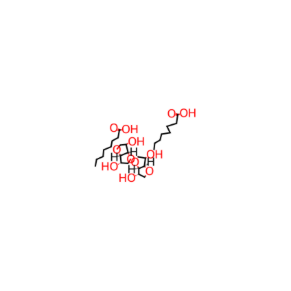 CCCCCCCC(=O)O.CCCCCCCC(=O)O.O[C@@H]1CO[C@H]2[C@@H]1OC[C@@H]2O.O[C@@H]1CO[C@H]2[C@@H]1OC[C@@H]2O